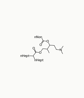 CCCCCCCCCC(=O)OC(CCN(C)C)C(C)COC(=O)C(CCCCCCC)CCCCCCC